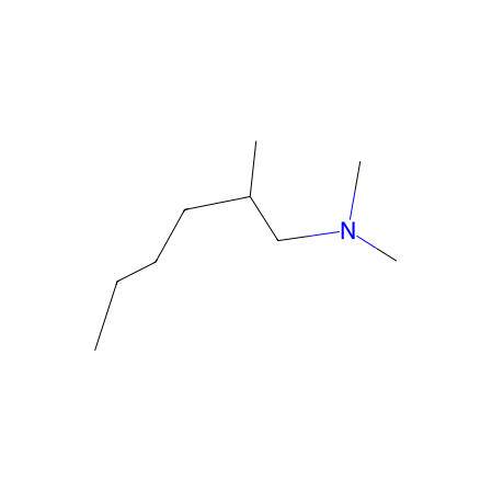 CCCCC(C)CN(C)C